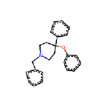 c1ccc(CN2CCC(Oc3ccccc3)(c3ccccc3)CC2)cc1